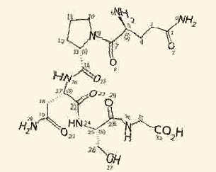 NC(=O)CC[C@H](N)C(=O)N1CCC[C@H]1C(=O)N[C@@H](CC(N)=O)C(=O)N[C@@H](CO)C(=O)NCC(=O)O